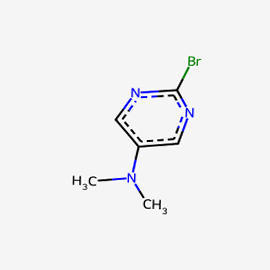 CN(C)c1cnc(Br)nc1